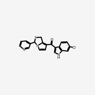 O=C(c1ccn2c1CSC2c1cccnc1)c1c[nH]c2cc(Cl)ccc12